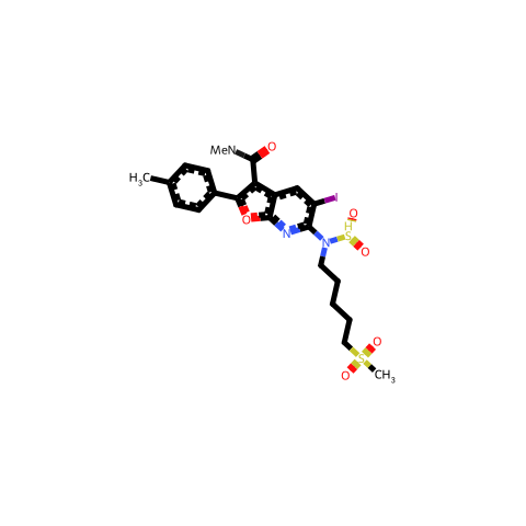 CNC(=O)c1c(-c2ccc(C)cc2)oc2nc(N(CCCCCS(C)(=O)=O)[SH](=O)=O)c(I)cc12